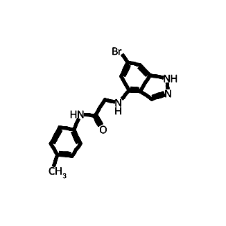 Cc1ccc(NC(=O)CNc2cc(Br)cc3[nH]ncc23)cc1